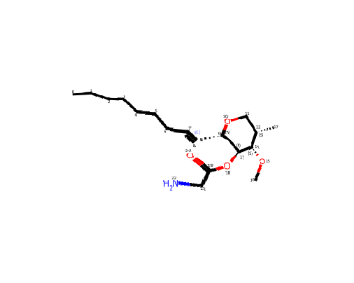 CCCCCCC/C=C/[C@@H]1OC[C@H](C)[C@H](OC)[C@H]1OC(=O)CN